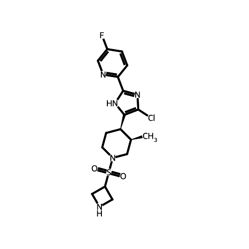 C[C@H]1CN(S(=O)(=O)C2CNC2)CC[C@H]1c1[nH]c(-c2ccc(F)cn2)nc1Cl